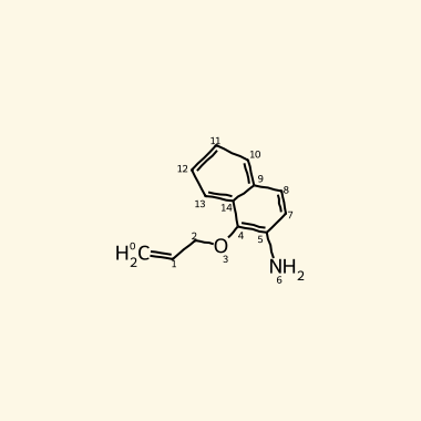 C=CCOc1c(N)ccc2ccccc12